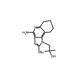 CCCCc1nc2c(N)nc3c(c2n1CC(C)(C)O)CCCC3